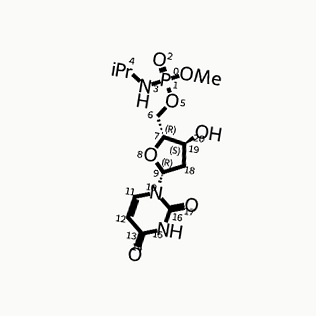 COP(=O)(NC(C)C)OC[C@H]1O[C@@H](n2ccc(=O)[nH]c2=O)C[C@@H]1O